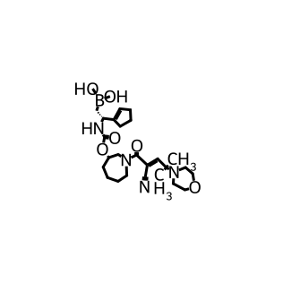 CC(C)(C=C(C#N)C(=O)N1CCCC[C@@H](OC(=O)N[C@H](CB(O)O)C2=CCCC2)C1)N1CCOCC1